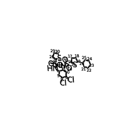 O=S(=O)(Nc1cc(Cl)c(Cl)cc1NS(=O)(=O)c1ccc(-c2ccccc2)s1)c1cccs1